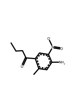 CCCC(=O)c1cc([N+](=O)[O-])c(N)cc1C